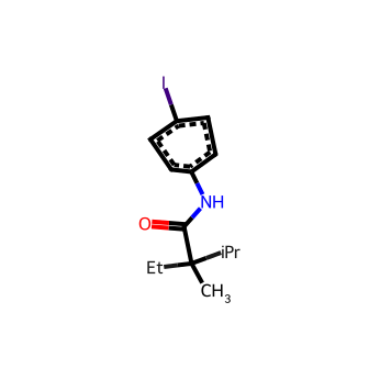 CCC(C)(C(=O)Nc1ccc(I)cc1)C(C)C